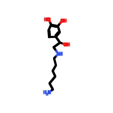 NCCCCCCNCC(O)c1ccc(O)c(O)c1